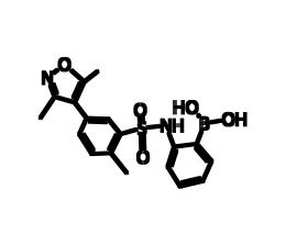 Cc1ccc(-c2c(C)noc2C)cc1S(=O)(=O)Nc1ccccc1B(O)O